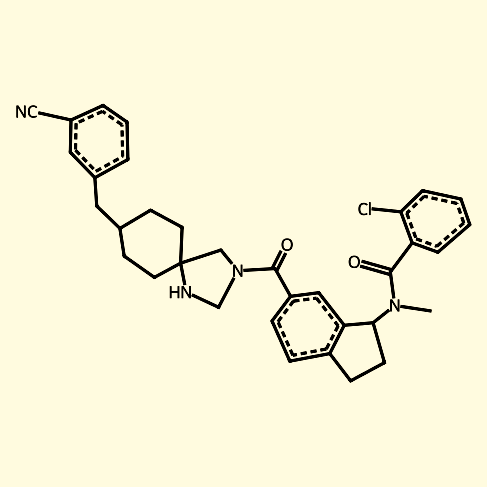 CN(C(=O)c1ccccc1Cl)C1CCc2ccc(C(=O)N3CNC4(CCC(Cc5cccc(C#N)c5)CC4)C3)cc21